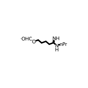 CCCNC(=N)CCCCO[C]=O